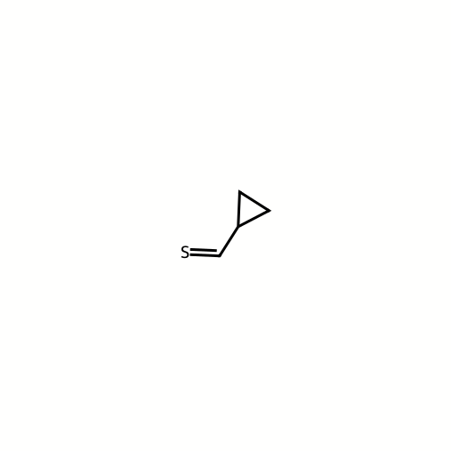 S=CC1CC1